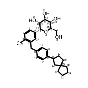 OC[C@H]1O[C@H](c2ccc(Cl)c(Cc3ccc(C4CCC5(CCCC5)C4)cc3)c2)[C@H](O)[C@@H](O)[C@@H]1O